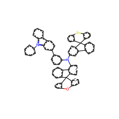 c1ccc(-n2c3ccccc3c3ccc(-c4cccc(N(c5ccc6c(c5)-c5ccccc5C65c6ccccc6Sc6ccccc65)c5cccc6c5-c5ccccc5C65c6ccccc6Oc6ccccc65)c4)cc32)cc1